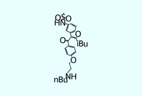 CCCCNCCCOc1ccc(C(=O)c2c(C(C)CC)oc3ccc(NS(C)(=O)=O)cc23)cc1